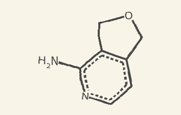 Nc1nccc2c1COC2